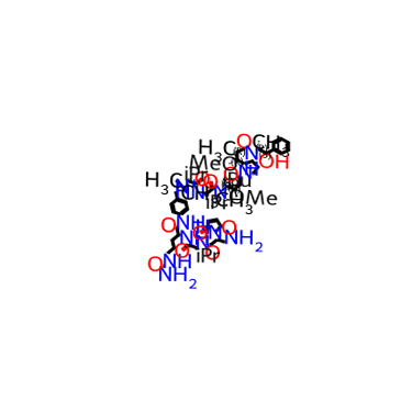 CC[C@H](C)[C@@H]([C@@H](CC(=O)N1CCCC1[C@H](OC)[C@@H](C)C(=O)N[C@H](C)[C@@H](O)c1ccccc1)OC)N(C)C(=O)C(NC(=O)C(C(C)C)[N+](C)(C)Cc1ccc(NC(=O)C(CCCNC(N)=O)NC(=O)C(NC(=O)C(CN)N2C(=O)C=CC2=O)C(C)C)cc1)C(C)C